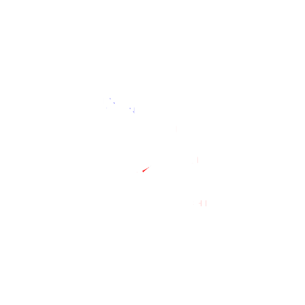 N/N=C/[C@H](O)[C@H](O)[C@H](O)CO